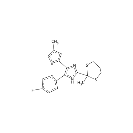 Cc1csc(-c2nc(C3(C)SCCCS3)[nH]c2-c2ccc(F)cc2)c1